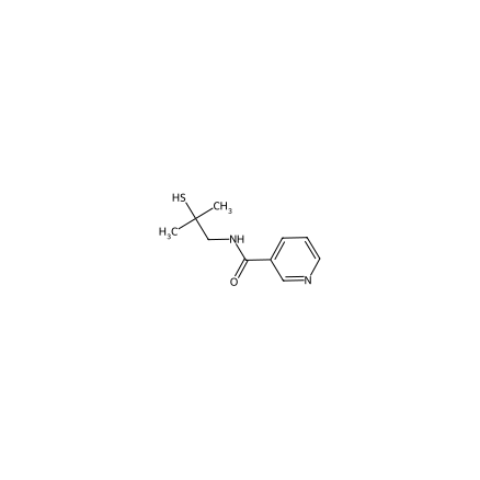 CC(C)(S)CNC(=O)c1cccnc1